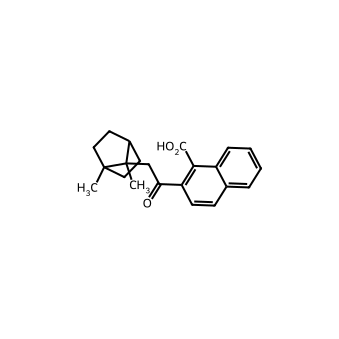 CC12CCC(CC1)C2(C)CC(=O)c1ccc2ccccc2c1C(=O)O